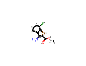 COC(=O)c1sc2c(F)cccc2c1N